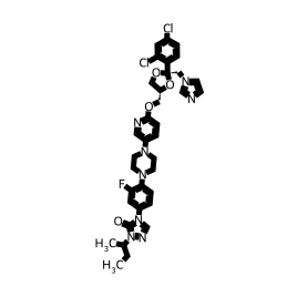 CCC(C)n1ncn(-c2ccc(N3CCN(c4ccc(OC[C@@H]5CO[C@@](Cn6ccnc6)(c6ccc(Cl)cc6Cl)O5)nc4)CC3)c(F)c2)c1=O